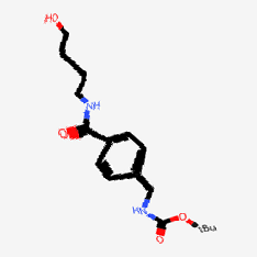 CC(C)(C)OC(=O)NCc1ccc(C(=O)NCCCCO)cc1